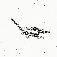 COc1ccc(/C=C2\N=C(Cc3cc(/C=C4\N=C(C)N(C5CCC(C(=O)NCCOCCOCCCCCCCl)CC5)C4=O)ccc3OC)N(CC(=O)OC(C)(C)C)C2=O)cc1